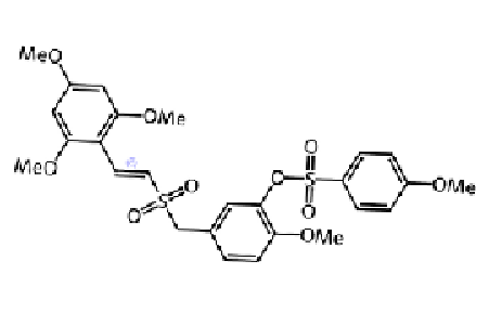 COc1ccc(S(=O)(=O)Oc2cc(CS(=O)(=O)/C=C/c3c(OC)cc(OC)cc3OC)ccc2OC)cc1